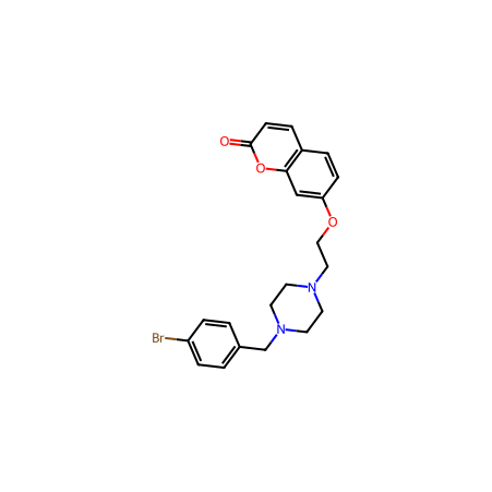 O=c1ccc2ccc(OCCN3CCN(Cc4ccc(Br)cc4)CC3)cc2o1